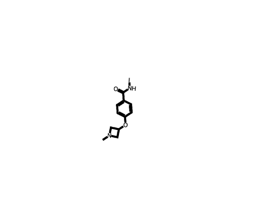 CN1CC(Oc2ccc(C(=O)NI)cc2)C1